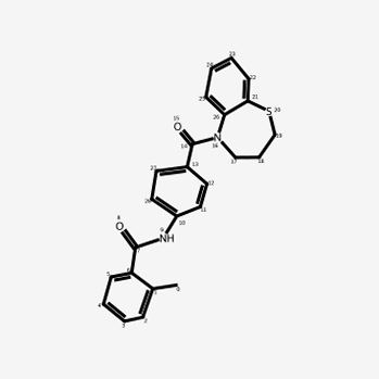 Cc1ccccc1C(=O)Nc1ccc(C(=O)N2CCCSc3ccccc32)cc1